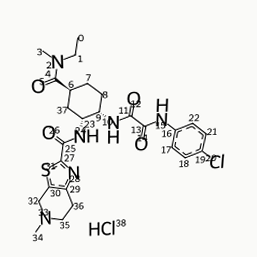 CCN(C)C(=O)[C@H]1CC[C@H](NC(=O)C(=O)Nc2ccc(Cl)cc2)[C@H](NC(=O)c2nc3c(s2)CN(C)CC3)C1.Cl